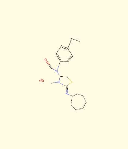 Br.CCc1ccc(N(C=O)C2CSC(=NC3CCCCCC3)N2C)cc1